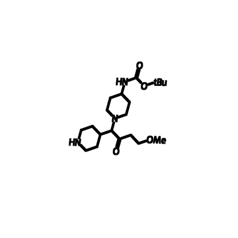 COCCC(=O)C(C1CCNCC1)N1CCC(NC(=O)OC(C)(C)C)CC1